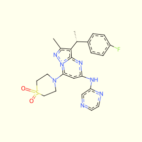 Cc1nn2c(N3CCS(=O)(=O)CC3)cc(Nc3cnccn3)nc2c1[C@H](C)c1ccc(F)cc1